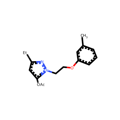 CCc1cc(OC(C)=O)n(CCOc2cccc(C)c2)n1